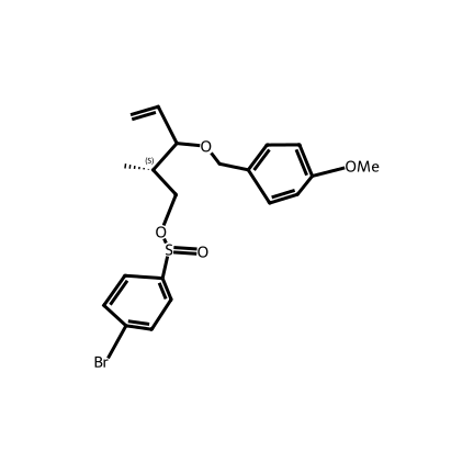 C=CC(OCc1ccc(OC)cc1)[C@@H](C)COS(=O)c1ccc(Br)cc1